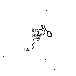 CCCCCCCCCCCCCCS(=O)(=O)N1CC[N+](CC)(Cc2ccccc2)CC1.[Br-]